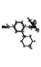 COc1ccc(OC)c(N2CCOCC2)c1.Cl.[N-]=[N+]=[Zn]